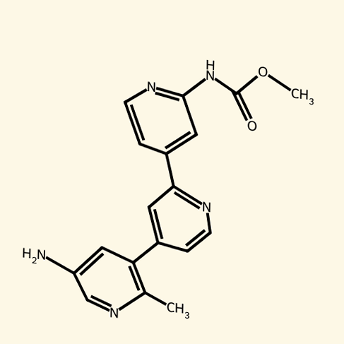 COC(=O)Nc1cc(-c2cc(-c3cc(N)cnc3C)ccn2)ccn1